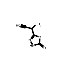 C#CC(C)c1n[nH]c(=O)o1